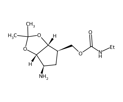 CCNC(=O)OC[C@H]1C[C@@H](N)[C@@H]2OC(C)(C)O[C@H]12